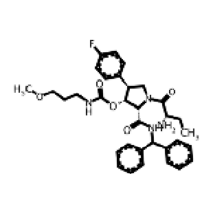 CC[C@H](N)C(=O)N1C[C@H](c2ccc(F)cc2)[C@@H](OC(=O)NCCCOC)[C@H]1C(=O)NC(c1ccccc1)c1ccccc1